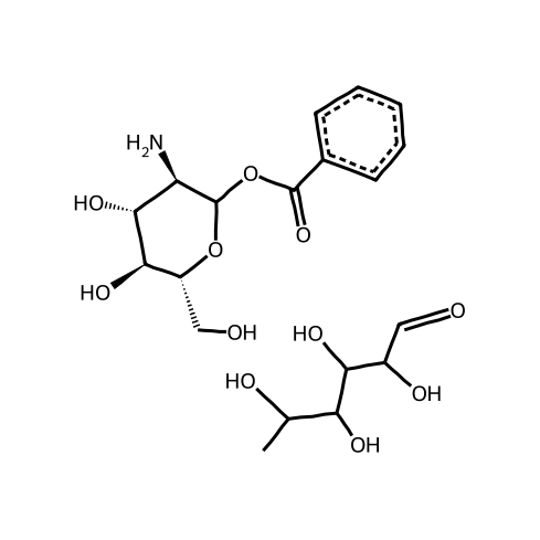 CC(O)C(O)C(O)C(O)C=O.N[C@H]1C(OC(=O)c2ccccc2)O[C@H](CO)[C@@H](O)[C@@H]1O